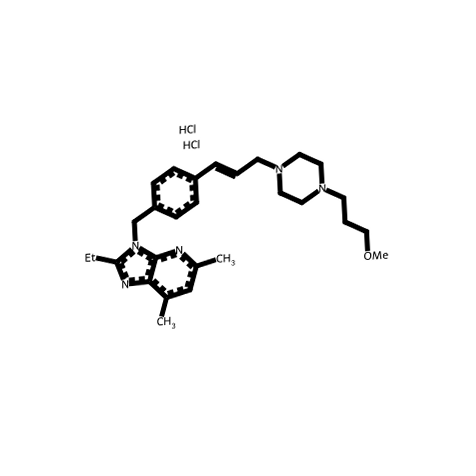 CCc1nc2c(C)cc(C)nc2n1Cc1ccc(C=CCN2CCN(CCCOC)CC2)cc1.Cl.Cl